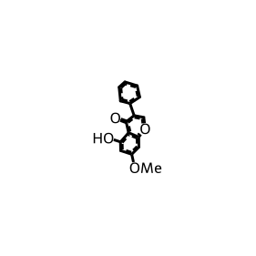 COc1cc(O)c2c(=O)c(-c3ccccc3)coc2c1